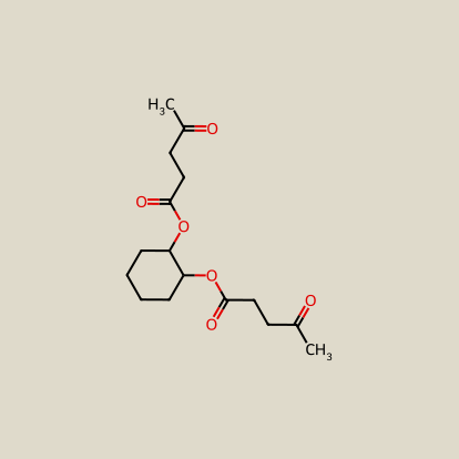 CC(=O)CCC(=O)OC1CCCCC1OC(=O)CCC(C)=O